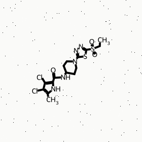 CCS(=O)(=O)c1nnc(N2CCC(NC(=O)c3[nH]c(C)c(Cl)c3Cl)CC2)s1